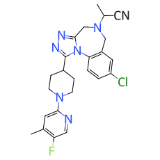 Cc1cc(N2CCC(c3nnc4n3-c3ccc(Cl)cc3CN(C(C)C#N)C4)CC2)ncc1F